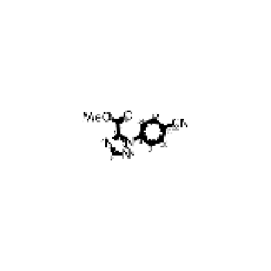 COC(=O)c1ncnn1-c1ccc(C#N)cc1